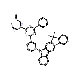 C=C/C=C(\C=C/C)c1nc(-c2ccccc2)nc(-c2cccc(-n3c4ccccc4c4cc5c(cc43)C(C)(C)c3ccccc3-5)c2)n1